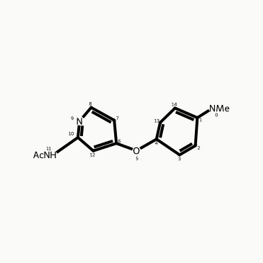 CNc1ccc(Oc2ccnc(NC(C)=O)c2)cc1